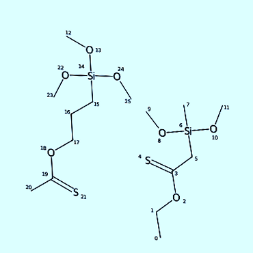 CCOC(=S)C[Si](C)(OC)OC.CO[Si](CCCOC(C)=S)(OC)OC